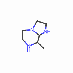 CC1NCCN2CCNC12